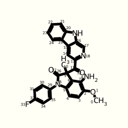 COc1ccc2c(c1N)C(C)(C(=O)c1cc3c(cn1)[nH]c1ccccc13)C(=O)N2c1ccc(F)cc1